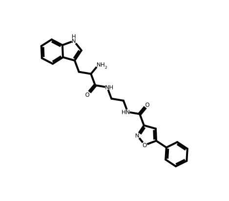 NC(Cc1c[nH]c2ccccc12)C(=O)NCCNC(=O)c1cc(-c2ccccc2)on1